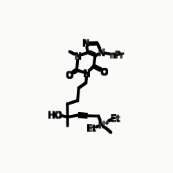 CCCn1cnc2c1c(=O)n(CCCCC(C)(O)C#CC[N+](C)(CC)CC)c(=O)n2C